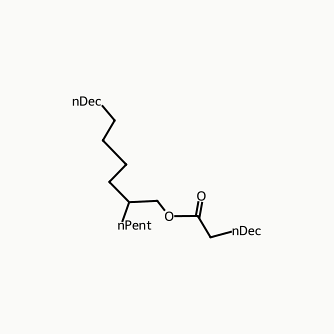 CCCCCCCCCCCCCCC(CCCCC)COC(=O)CCCCCCCCCCC